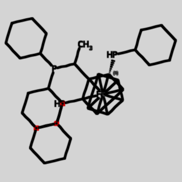 CC(P(C1CCCCC1)C1CCCCC1)[C]12[C]3(PC4CCCCC4)[CH]4[CH]5[C@@]1(PC1CCCCC1)[Fe]45321678[CH]2[CH]1[CH]6[CH]7[CH]28